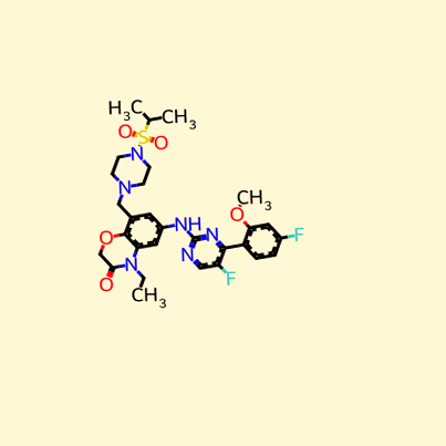 CCN1C(=O)COc2c(CN3CCN(S(=O)(=O)C(C)C)CC3)cc(Nc3ncc(F)c(-c4ccc(F)cc4OC)n3)cc21